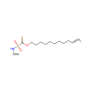 C=CCCCCCCCCCOC(=S)S(=O)(=O)NOC